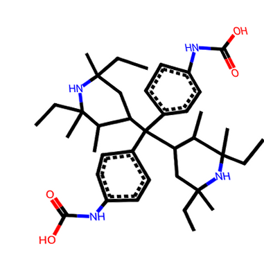 CCC1(C)CC(C(c2ccc(NC(=O)O)cc2)(c2ccc(NC(=O)O)cc2)C2CC(C)(CC)NC(C)(CC)C2C)C(C)C(C)(CC)N1